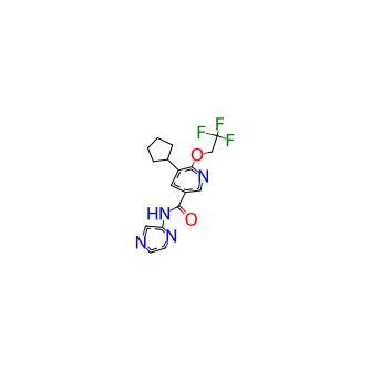 O=C(Nc1cnccn1)c1cnc(OCC(F)(F)F)c(C2CCCC2)c1